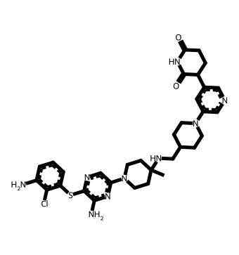 CC1(NCC2CCN(c3cncc(C4CCC(=O)NC4=O)c3)CC2)CCN(c2cnc(Sc3cccc(N)c3Cl)c(N)n2)CC1